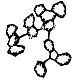 c1ccc(C2c3ccccc3-c3cc(-c4nc5c6ccccc6c6ccccc6c5n4-c4cnc(-c5c6ccccc6cc6ccccc56)c5ccccc45)ccc32)cc1